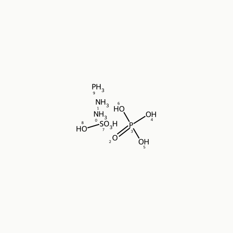 N.N.O=P(O)(O)O.O=S(=O)(O)O.P